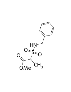 COC(=O)C(C)S(=O)(=O)NCc1ccccc1